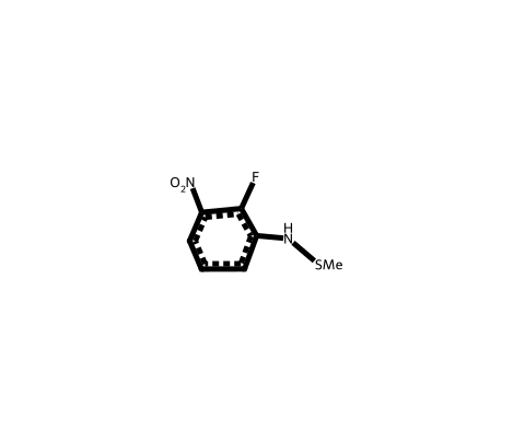 CSNc1cccc([N+](=O)[O-])c1F